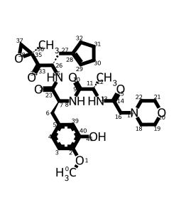 COc1ccc(C[C@H](NC(=O)[C@H](C)NC(=O)CN2CCOCC2)C(=O)N[C@@H](CC2=CCCC2)C(=O)[C@]2(C)CO2)cc1O